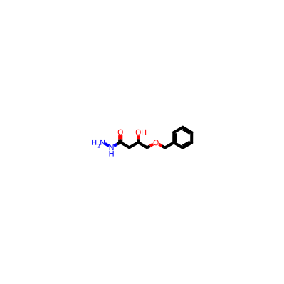 NNC(=O)CC(O)COCc1ccccc1